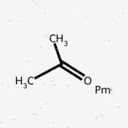 CC(C)=O.[Pm]